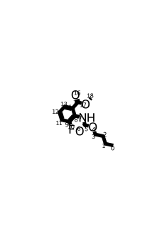 CCCCOC(=O)Nc1c(F)cccc1C(=O)OC